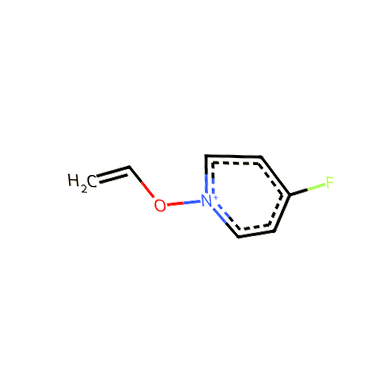 C=CO[n+]1ccc(F)cc1